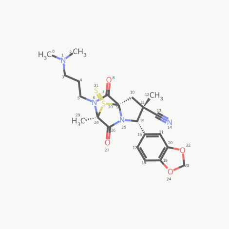 CN(C)CCCN1C(=O)[C@@]23C[C@](C)(C#N)[C@H](c4ccc5c(c4)OCO5)N2C(=O)[C@]1(C)S3=S